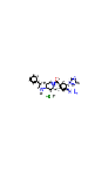 CN(CCc1ccccc1)C1CCN(C(=O)c2ccc(N)c(-n3cncn3)c2)CC1.Cl